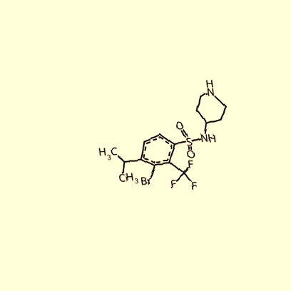 CC(C)c1ccc(S(=O)(=O)NC2CCNCC2)c(C(F)(F)F)c1Br